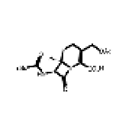 CCCCC(=O)N[C@@H]1C(=O)N2C(C(=O)O)=C(COC(C)=O)CS[C@H]12